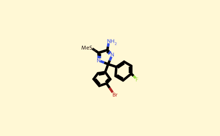 CSC1=NC(c2ccc(F)cc2)(c2cccc(Br)c2)N=C1N